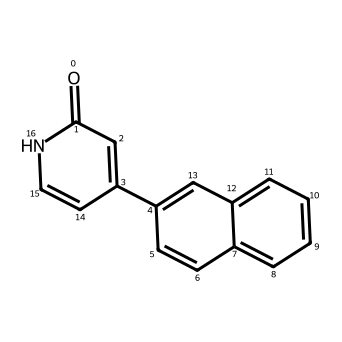 O=c1cc(-c2ccc3ccccc3c2)cc[nH]1